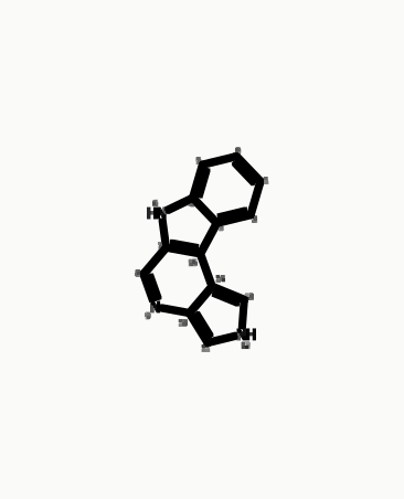 c1ccc2c(c1)[nH]c1cnc3c[nH]cc3c12